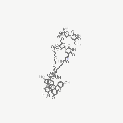 Cc1cn([C@H]2C[C@@H](P(=O)(O)OC[C@H]3O[C@@H](n4cc(/C=C/C(=O)NCCCCCCNC(=O)c5ccc(C(=O)O)c(-c6c7ccc(=O)cc-7oc7cc(O)ccc67)c5)c(=O)[nH]c4=O)C[C@H]3OP(=O)(O)OCCOCCOCCOP(=O)(O)OC[C@H]3O[C@@H](n4ccc(N)nc4=O)C[C@H]3O)[C@@H](CO)O2)c(=O)[nH]c1=O